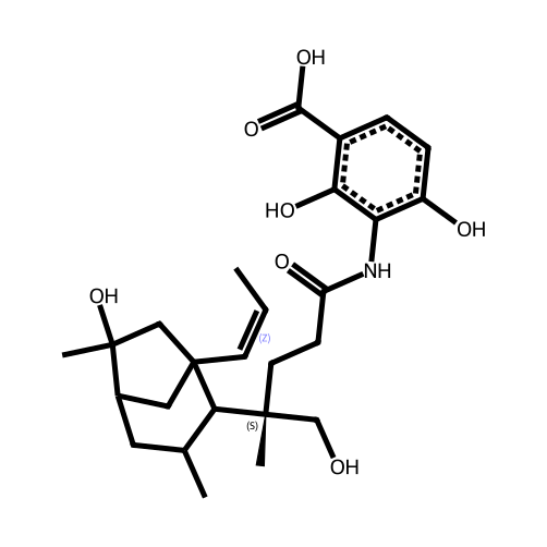 C/C=C\C12CC(CC(C)C1[C@@](C)(CO)CCC(=O)Nc1c(O)ccc(C(=O)O)c1O)C(C)(O)C2